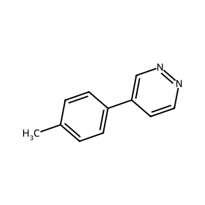 Cc1ccc(-c2ccnnc2)cc1